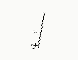 CCCCCCCCCCCCCCCCC(C)C(C)(Cl)CC.N